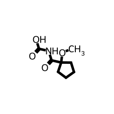 COC1(C(=O)NC(=O)O)CCCC1